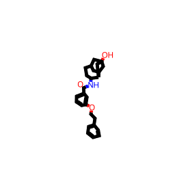 O=C(NC1CCC2CC3CC(O)(C2)CC31)c1cccc(OCCc2ccccc2)c1